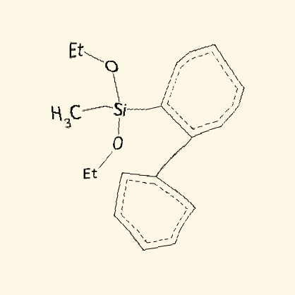 CCO[Si](C)(OCC)c1ccccc1-c1ccccc1